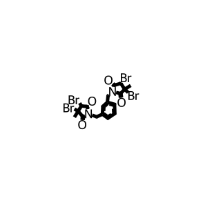 CC1(Br)C(=O)N(Cc2cccc(CN3C(=O)C(Br)C(C)(Br)C3=O)c2)C(=O)C1Br